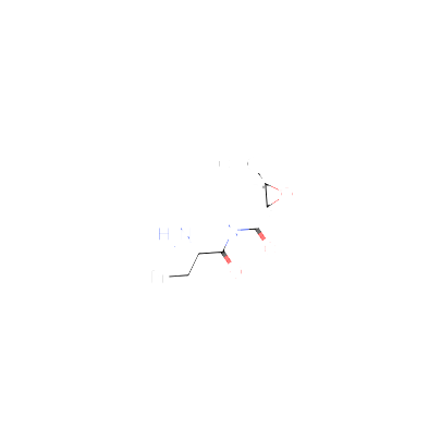 CC(C)C[C@H](N)C(=O)[N]C(=O)[C@H]1O[C@@H]1[C]=O